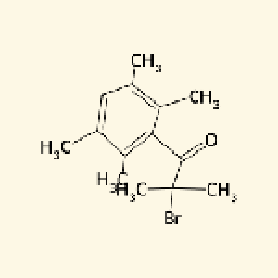 Cc1cc(C)c(C)c(C(=O)C(C)(C)Br)c1C